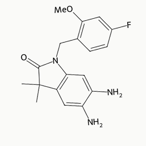 COc1cc(F)ccc1CN1C(=O)C(C)(C)c2cc(N)c(N)cc21